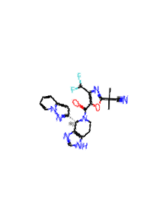 CC(C)(C#N)c1nc(C(F)F)c(C(=O)N2CCc3[nH]cnc3[C@@H]2c2cc3ccccn3n2)o1